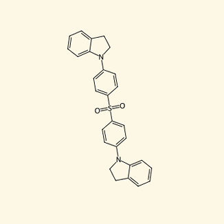 O=S(=O)(c1ccc(N2CCc3ccccc32)cc1)c1ccc(N2CCc3ccccc32)cc1